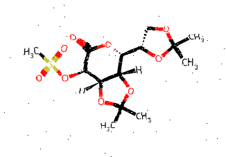 CC1(C)O[C@H]2[C@@H]([C@@H]3COC(C)(C)O3)OC(=O)[C@H](OS(C)(=O)=O)[C@H]2O1